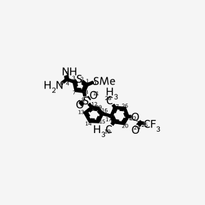 CSc1sc(C(=N)N)cc1S(=O)(=O)c1cccc(-c2c(C)cc(OC(=O)C(F)(F)F)cc2C)c1